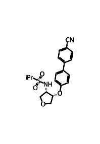 CC(C)S(=O)(=O)N[C@H]1COC[C@H]1Oc1ccc(-c2ccc(C#N)cc2)cc1